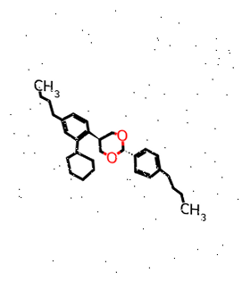 CCCCc1ccc([C@H]2OC[C@H](c3ccc(CCCC)cc3C3CCCCC3)CO2)cc1